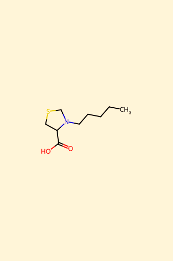 CCCCCN1CSCC1C(=O)O